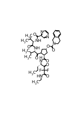 CCC[C@H](NC(=O)[C@@H]1C[C@@H](OC(=O)N2CCc3ccccc3C2)CC1C(=O)[C@@H](NC(=O)[C@@H](NC(=O)c1cnccn1)C(C)C)C(C)C)C(=O)C(F)(F)C(=O)NCC